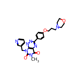 Cn1c(=O)c2nc(-c3ccc(OCCCN4CCOCC4)cc3)nnc2n(Cc2cccnc2)c1=O